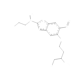 CCCCCCCCCCCCN(C)c1nc2cc(OCCC(C)CC(C)(C)C)c(N=N)cc2s1